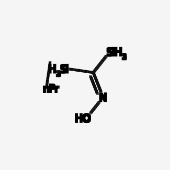 CCCC.ON=C([SiH3])[SiH3]